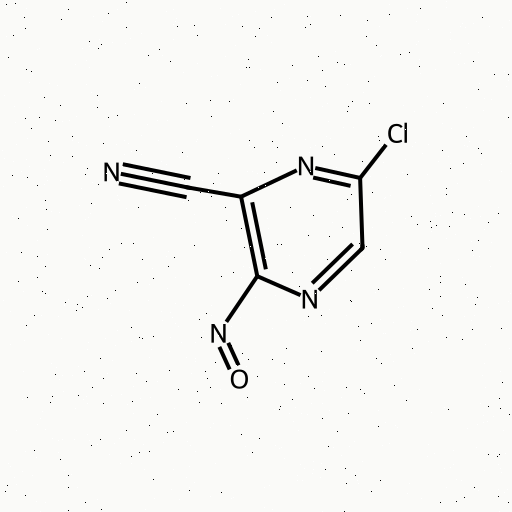 N#Cc1nc(Cl)cnc1N=O